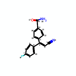 N#CC=C(c1ccc(F)cc1)c1ccc(C(N)=O)cc1